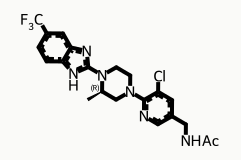 CC(=O)NCc1cnc(N2CCN(c3nc4cc(C(F)(F)F)ccc4[nH]3)[C@H](C)C2)c(Cl)c1